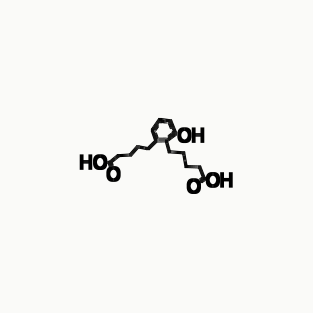 O=C(O)CCCCc1cccc(O)c1CCCCC(=O)O